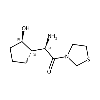 N[C@@H](C(=O)N1CCSC1)[C@@H]1CCC[C@H]1O